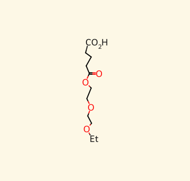 CCOCCOCCOC(=O)CCCC(=O)O